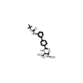 C[C@@H](O)[C@H](NC(=O)c1ccc(-c2cccc(NC(=O)OC(C)(C)C)c2)cc1)C(=O)NO